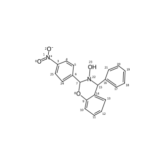 O=[N+]([O-])c1ccc(C2Oc3ccccc3C(c3ccccc3)N2O)cc1